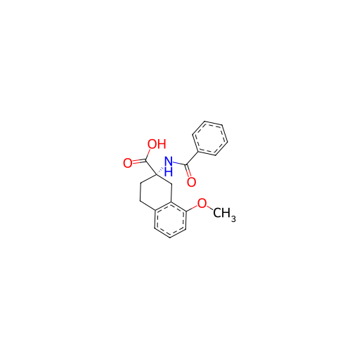 COc1cccc2c1C[C@](NC(=O)c1ccccc1)(C(=O)O)CC2